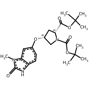 Cn1c(=O)[nH]c2ccc(O[C@@H]3C[C@H](C(=O)OC(C)(C)C)N(C(=O)OC(C)(C)C)C3)cc21